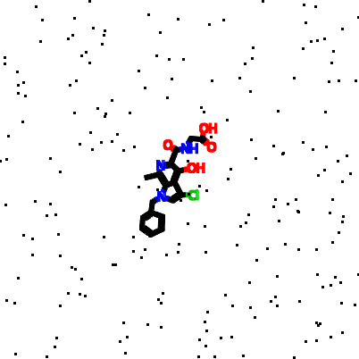 Cc1nc(C(=O)NCC(=O)O)c(O)c2c(Cl)cn(Cc3ccccc3)c12